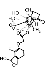 C[C@@H]1CC[C@@]23CCC(=O)[C@H]2[C@]1(C)[C@H](OC(=O)COc1ccc2c(c1F)B(O)OC2)C[C@@](C)([C@H]1CO1)[C@@H](O)[C@@H]3C